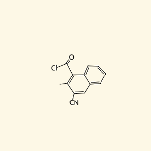 Cc1c(C#N)cc2ccccc2c1C(=O)Cl